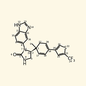 CC1([C@H]2CNC(=O)N2c2ccc3[nH]cnc3c2)C=CC(c2csc(C(F)(F)F)c2)=CC1